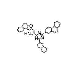 C1=C(c2nc(-c3ccc4ccccc4c3)nc(-c3ccc4c(ccc5ccccc54)c3)n2)CNc2c1oc1ccc3ccccc3c21